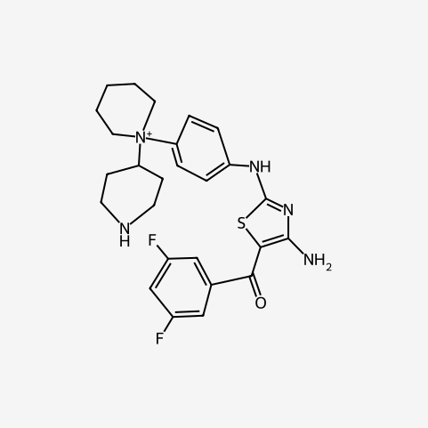 Nc1nc(Nc2ccc([N+]3(C4CCNCC4)CCCCC3)cc2)sc1C(=O)c1cc(F)cc(F)c1